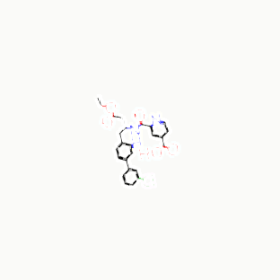 CCOC(=O)C[C@@H](Cc1ccc(-c2cccc(Cl)c2)cc1)NC(=O)c1cc(C(=O)O)ccn1